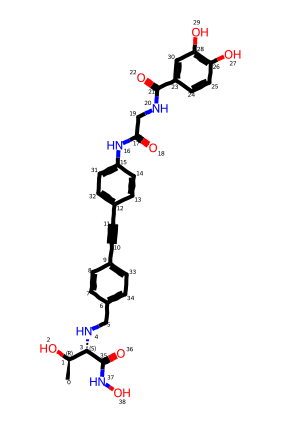 C[C@@H](O)[C@H](NCc1ccc(C#Cc2ccc(NC(=O)CNC(=O)c3ccc(O)c(O)c3)cc2)cc1)C(=O)NO